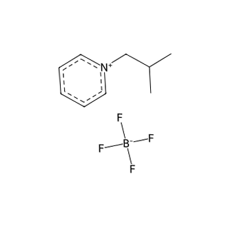 CC(C)C[n+]1ccccc1.F[B-](F)(F)F